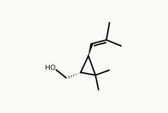 CC(C)=C[C@@H]1[C@@H](CO)C1(C)C